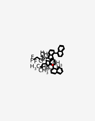 C[SiH](CCC(F)(F)F)[Zr]([Cl])([Cl])([CH]1C(CC(C)(C)C)=Cc2c(-c3cccc4ccccc34)cccc21)[CH]1C(CC(C)(C)C)=Cc2c(-c3cccc4ccccc34)cccc21